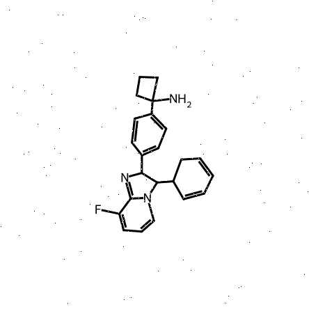 NC1(c2ccc(C3N=C4C(F)=CC=CN4C3C3C=CC=CC3)cc2)CCC1